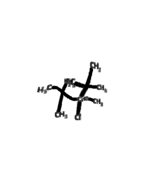 C[C](C)(C)[Ge]([CH3])([Cl])[C](C)(C)C